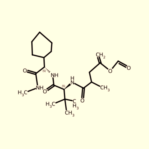 C=C(CC(C)C(=O)N[C@H](C(=O)N[C@H](C(=O)NC)C1CCCCC1)C(C)(C)C)OC=O